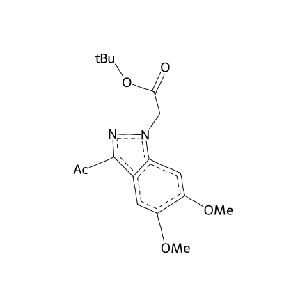 COc1cc2c(C(C)=O)nn(CC(=O)OC(C)(C)C)c2cc1OC